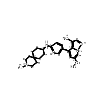 CCOc1cc(-c2ccc(NC3CCC4(CC3)CCN(C(C)=O)CC4)nc2)c2c(C#N)cnn2c1